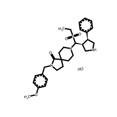 CCS(=O)(=O)C([C@@H]1CNC[C@@H]1c1ccccc1)N1CCC2(CCN(Cc3ccc(OC)cc3)C2=O)CC1.Cl